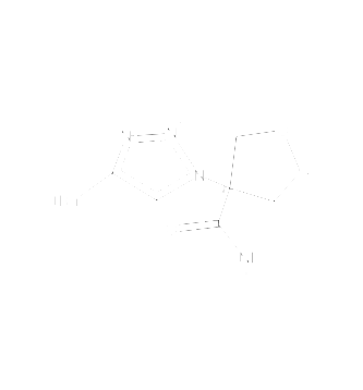 CC(C)(C)c1cn(C2(C(N)=O)CCOC2)nn1